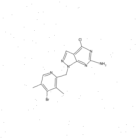 Cc1cnc(Cn2ncc3c(Cl)nc(N)nc32)c(C)c1Br